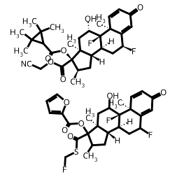 CC1C[C@H]2[C@@H]3CC(F)C4=CC(=O)C=C[C@]4(C)[C@@]3(F)C(O)C[C@]2(C)C1(OC(=O)c1ccco1)C(=O)SCF.C[C@@H]1C[C@H]2[C@@H]3C[C@H](F)C4=CC(=O)C=C[C@]4(C)[C@@]3(F)[C@@H](O)C[C@]2(C)[C@@]1(OC(=O)C1C(C)(C)C1(C)C)C(=O)OCC#N